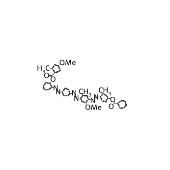 COc1ccc(C(=O)Oc2ccccc2N=Nc2ccc(N=Nc3cc(OC)c(N=Nc4ccc(OC(=O)c5ccccc5)cc4C)cc3C)cc2)c(C)c1